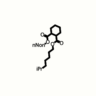 CCCCCCCCCOC(=O)C1CCCCC1C(=O)OCCCCCC(C)C